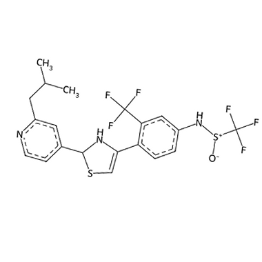 CC(C)Cc1cc(C2NC(c3ccc(N[S+]([O-])C(F)(F)F)cc3C(F)(F)F)=CS2)ccn1